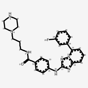 O=C(NCCCN1CCNCC1)c1ccc(Nc2nc3cccc(-c4cccc(F)c4)n3n2)cc1